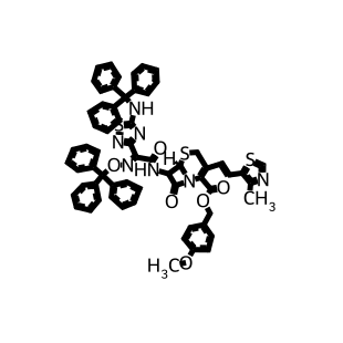 COc1ccc(COC(=O)C2=C(C=Cc3scnc3C)CS[C@H]3C(NC(=O)C(=NOC(c4ccccc4)(c4ccccc4)c4ccccc4)c4nsc(NC(c5ccccc5)(c5ccccc5)c5ccccc5)n4)C(=O)N23)cc1